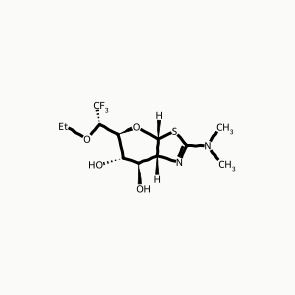 CCO[C@@H]([C@H]1O[C@@H]2SC(N(C)C)=N[C@@H]2[C@@H](O)[C@@H]1O)C(F)(F)F